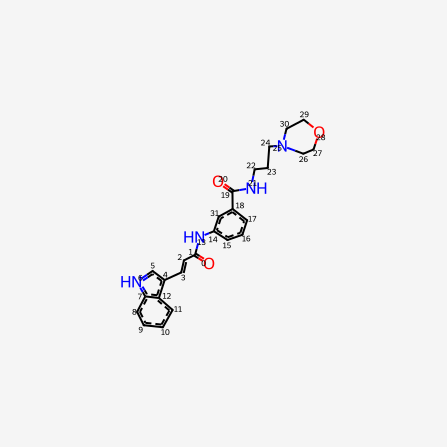 O=C(/C=C/c1c[nH]c2ccccc12)Nc1cccc(C(=O)NCCCN2CCOCC2)c1